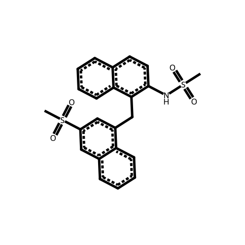 CS(=O)(=O)Nc1ccc2ccccc2c1Cc1cc(S(C)(=O)=O)cc2ccccc12